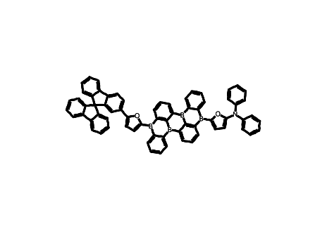 c1ccc(N(c2ccccc2)c2ccc(B3c4ccccc4B4c5cccc6c5B(c5ccccc5B6c5ccc(-c6ccc7c(c6)C6(c8ccccc8-c8ccccc86)c6ccccc6-7)o5)c5cccc3c54)o2)cc1